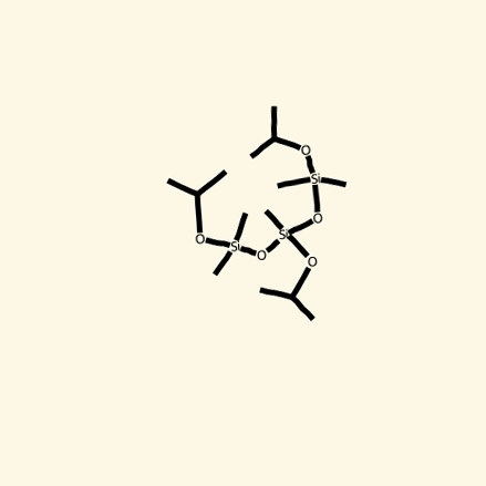 CC(C)O[Si](C)(C)O[Si](C)(OC(C)C)O[Si](C)(C)OC(C)C